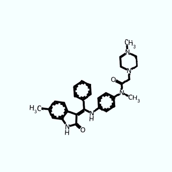 Cc1ccc2c(c1)NC(=O)/C2=C(\Nc1ccc(N(C)C(=O)CN2CCN(C)CC2)cc1)c1ccccc1